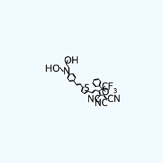 N#CC(C#N)=C1OC(c2ccccc2)(C(F)(F)F)C(/C=C/c2ccc(/C=C/c3ccc(N(CCO)CCO)cc3)s2)=C1C#N